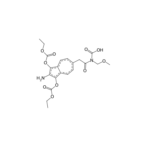 CCOC(=O)Oc1c2ccc(CC(=O)N(COC)C(=O)O)ccc-2c(OC(=O)OCC)c1N